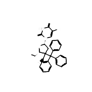 Cc1cn([C@H]2CC(C#N)(C(c3ccccc3)(c3ccccc3)c3ccccc3)[C@@H](CO)O2)c(=O)[nH]c1=O